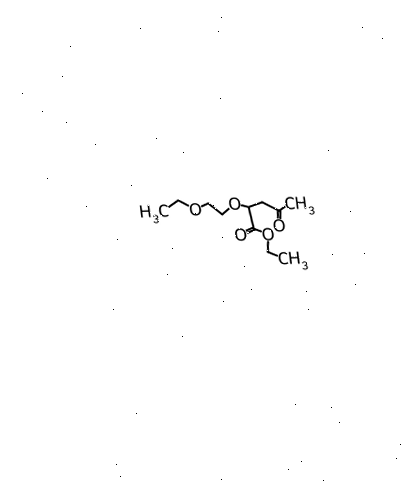 CCOCCOC(CC(C)=O)C(=O)OCC